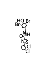 O=C(NN=Cc1cc(Br)c(O)c(Br)c1)c1csc(-c2cccc(Cl)c2Cl)n1